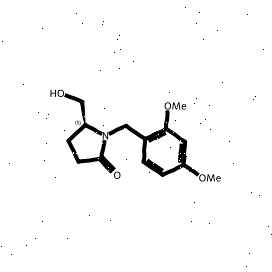 COc1ccc(CN2C(=O)CC[C@H]2CO)c(OC)c1